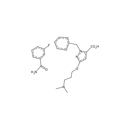 CN(C)CCCOc1cc(C(=O)O)n(Cc2ccccc2)n1.NC(=O)c1cccc(F)c1